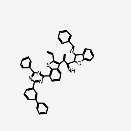 C=Cc1sc2c(-c3nc(-c4ccccc4)nc(-c4cccc(-c5ccccc5)c4)n3)cccc2c1C(=C)C(=N)C1Oc2ccccc2C1/N=C/c1ccccc1